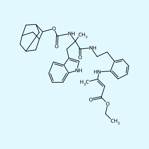 CCOC(=O)C=C(C)Nc1ccccc1CCNC(=O)C(C)(Cc1c[nH]c2ccccc12)NC(=O)OC1C2CC3CC(C2)CC1C3